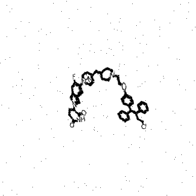 O=C1CCC(n2cc3cc(F)c(N4CC5CCC4CN5CC4CCN(CCOc5ccc(C(=C(CCCl)c6ccccc6)c6ccccc6)cc5)CC4)cc3c2)C(=O)N1